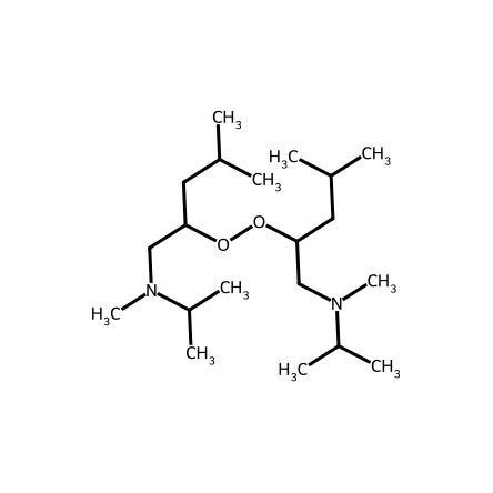 CC(C)CC(CN(C)C(C)C)OOC(CC(C)C)CN(C)C(C)C